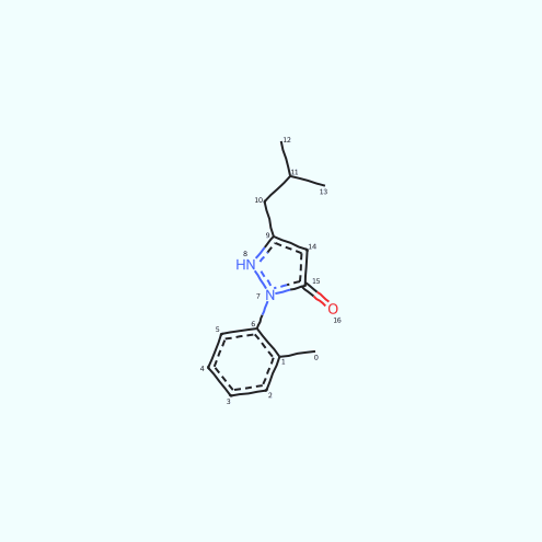 Cc1ccccc1-n1[nH]c(CC(C)C)cc1=O